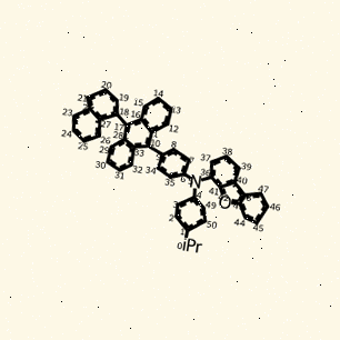 CC(C)c1ccc(N(c2ccc(-c3c4ccccc4c(-c4cccc5ccccc45)c4ccccc34)cc2)c2cccc3c2oc2ccccc23)cc1